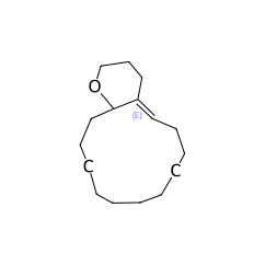 C1=C2\CCCOC2CCCCCCCCCC/1